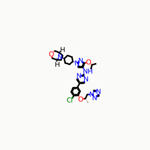 CC(C)Oc1nn([C@H]2CC[C@H](N3[C@@H]4CC[C@H]3COC4)CC2)cc1Nc1ncc(-c2ccc(Cl)c(O[C@@H](C)Cn3cncn3)c2)cn1